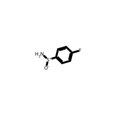 N[S+]([O-])c1ccc(F)cc1